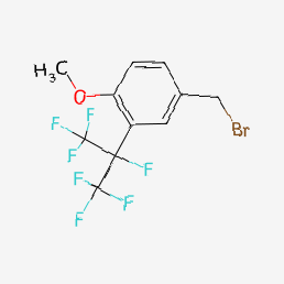 COc1ccc(CBr)cc1C(F)(C(F)(F)F)C(F)(F)F